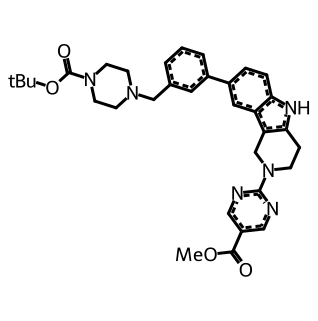 COC(=O)c1cnc(N2CCc3[nH]c4ccc(-c5cccc(CN6CCN(C(=O)OC(C)(C)C)CC6)c5)cc4c3C2)nc1